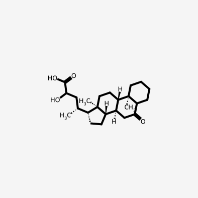 C[C@H](CC(O)C(=O)O)[C@H]1CC[C@H]2[C@@H]3CC(=O)C4CCCC[C@]4(C)[C@H]3CC[C@]12C